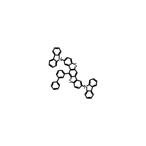 c1ccc(-c2cccc(-c3c4sc5ccc(-n6c7ccccc7c7ccccc76)cc5c4cc4sc5ccc(-n6c7ccccc7c7ccccc76)cc5c34)c2)cc1